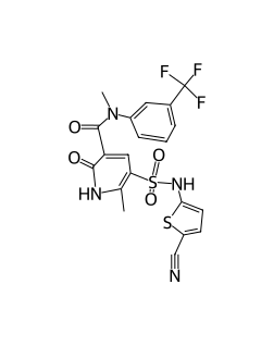 Cc1[nH]c(=O)c(C(=O)N(C)c2cccc(C(F)(F)F)c2)cc1S(=O)(=O)Nc1ccc(C#N)s1